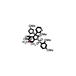 COc1ccc(S(=O)(=O)N2C(=O)C(c3cccnc3OC)(N3C[C@@H](OC)C[C@H]3C(=O)ON(C)C)c3cc(Cl)ccc32)c(OC)c1